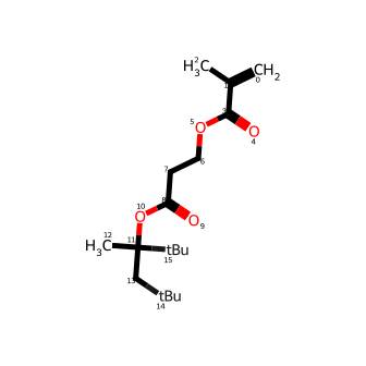 C=C(C)C(=O)OCCC(=O)OC(C)(CC(C)(C)C)C(C)(C)C